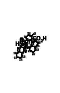 Cc1ccc(S(=O)(=O)Nc2nc3ccccc3nc2Nc2cccc3ccc(C(=O)O)nc23)cc1